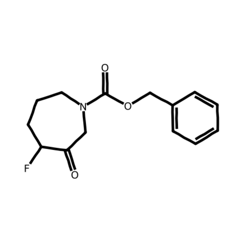 O=C1CN(C(=O)OCc2ccccc2)CCCC1F